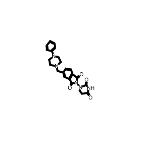 O=C1CCN(N2C(=O)c3ccc(CN4CCN(c5ccccc5)CC4)cc3C2=O)C(=O)N1